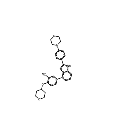 N#Cc1cc(-c2cccc3[nH]c(-c4ccc(N5CCOCC5)cc4)cc23)ccc1OC1CCOCC1